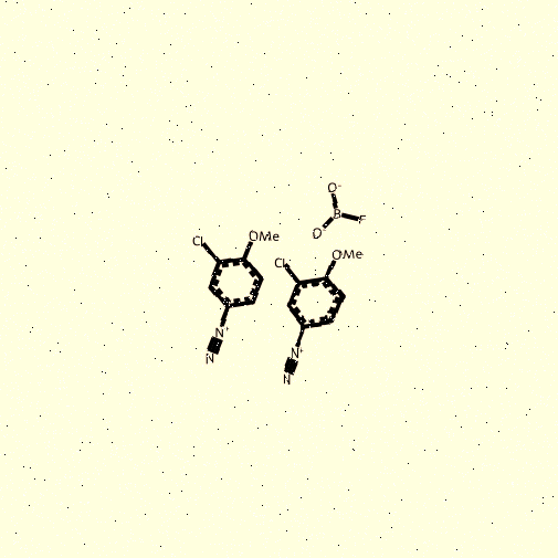 COc1ccc([N+]#N)cc1Cl.COc1ccc([N+]#N)cc1Cl.[O-]B([O-])F